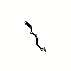 C/C=N/OC=O